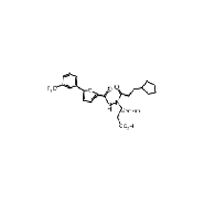 O=C[C@H](CC(=O)O)N(NC(=O)c1ccc(-c2cccc(C(F)(F)F)c2)o1)C(=O)CCC1CCCC1